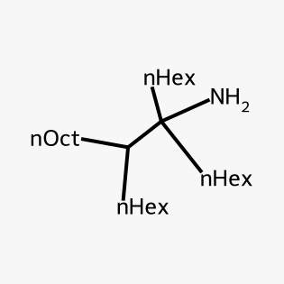 CCCCCCCCC(CCCCCC)C(N)(CCCCCC)CCCCCC